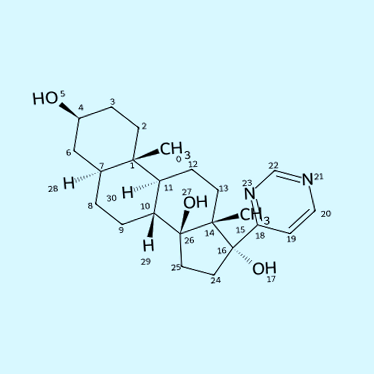 C[C@]12CC[C@H](O)C[C@@H]1CC[C@@H]1[C@@H]2CC[C@]2(C)[C@@](O)(c3ccncn3)CC[C@]12O